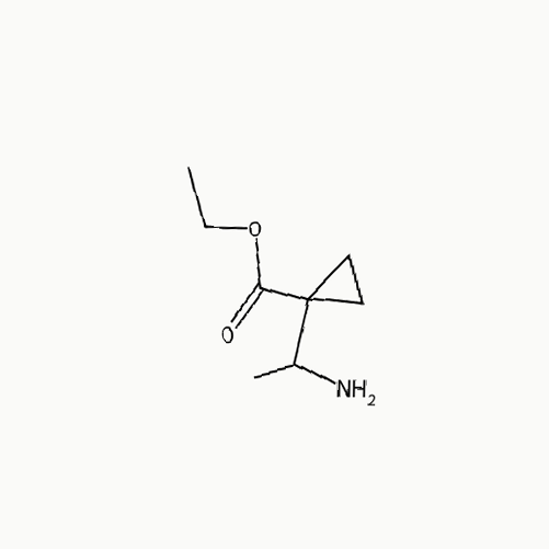 CCOC(=O)C1(C(C)N)CC1